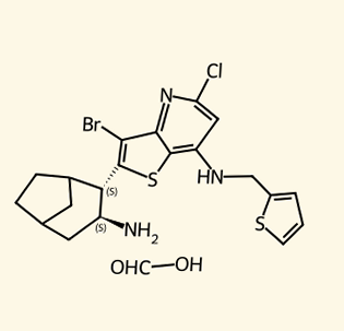 N[C@H]1CC2CCC(C2)[C@@H]1c1sc2c(NCc3cccs3)cc(Cl)nc2c1Br.O=CO